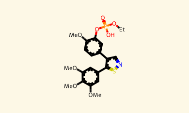 CCOP(=O)(O)Oc1cc(-c2cnsc2-c2cc(OC)c(OC)c(OC)c2)ccc1OC